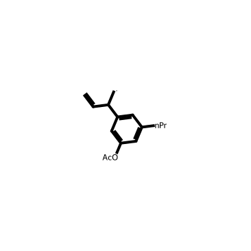 [CH2]C(C=C)c1cc(CCC)cc(OC(C)=O)c1